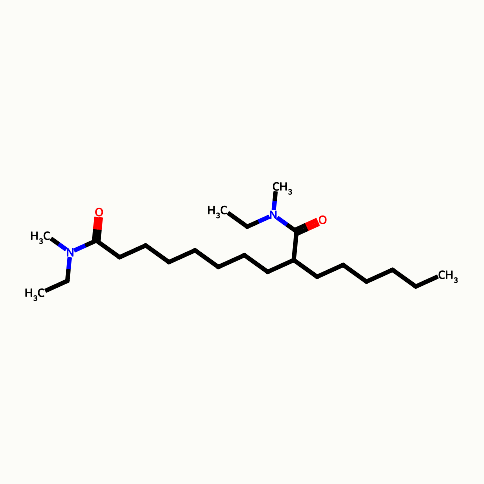 CCCCCCC(CCCCCCCC(=O)N(C)CC)C(=O)N(C)CC